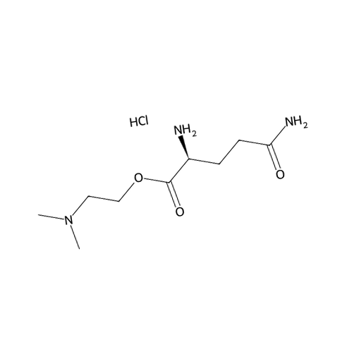 CN(C)CCOC(=O)[C@@H](N)CCC(N)=O.Cl